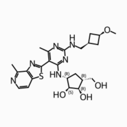 CO[C@H]1C[C@@H](CNc2nc(C)c(-c3nc4c(C)nccc4s3)c(N[C@@H]3C[C@H](CO)[C@@H](O)[C@H]3O)n2)C1